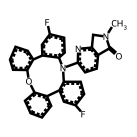 CN1Cc2nc(N3c4ccc(F)cc4-c4ccccc4Oc4ccccc4-c4cc(F)ccc43)ccc2C1=O